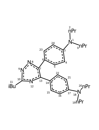 CCCN(CCC)c1ccc(-c2nnc(C(C)CC)nc2-c2ccc(N(CCC)CCC)cc2)cc1